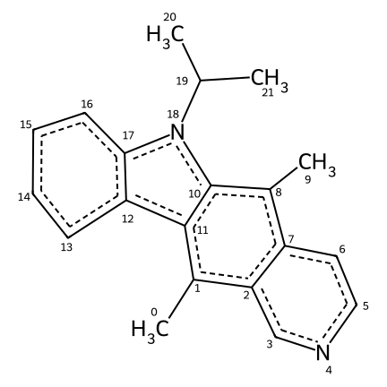 Cc1c2cnccc2c(C)c2c1c1ccccc1n2C(C)C